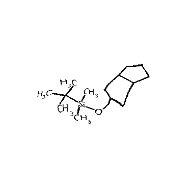 CC(C)(C)[Si](C)(C)OC1CC2CCCC2C1